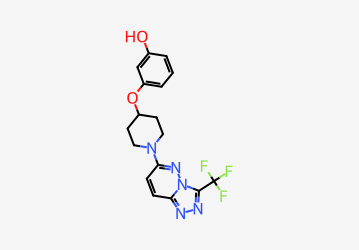 Oc1cccc(OC2CCN(c3ccc4nnc(C(F)(F)F)n4n3)CC2)c1